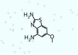 COc1cc(N)c2nc(N)sc2c1